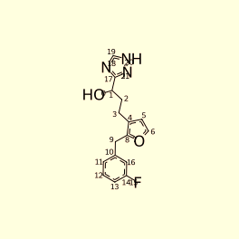 OC(CCc1ccoc1Cc1cccc(F)c1)c1nc[nH]n1